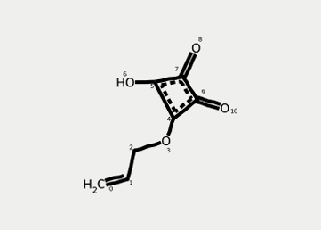 C=CCOc1c(O)c(=O)c1=O